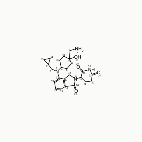 NCC1(O)CCC(N(CC2CC2)c2cccc3c2CN(C2CCC(=O)NC2=O)C3=O)CC1